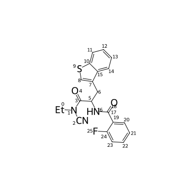 CCN(C#N)C(=O)C(Cc1csc2ccccc12)NC(=O)c1ccccc1F